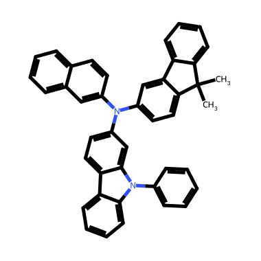 CC1(C)c2ccccc2-c2cc(N(c3ccc4ccccc4c3)c3ccc4c5ccccc5n(-c5ccccc5)c4c3)ccc21